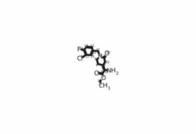 CCOC(=O)/C(N)=C1\CCN(Cc2ccc(F)c(Cl)c2)C(=O)C1